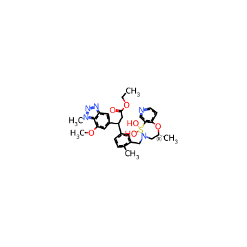 CCOC(=O)CC(c1ccc(C)c(CN2C[C@@H](C)Oc3ccncc3S2(O)O)c1)c1cc(OC)c2c(c1)nnn2C